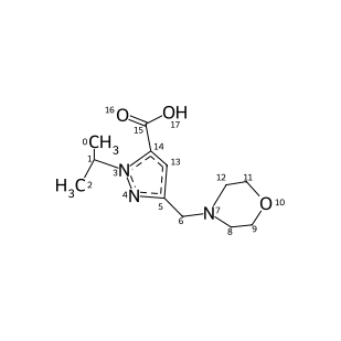 CC(C)n1nc(CN2CCOCC2)cc1C(=O)O